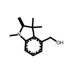 C=C1N(C)c2cccc(CO)c2C1(C)C